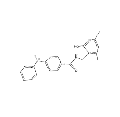 Cc1cc(C)c(CNC(=O)c2ccc([C@@H](C)c3ccccc3)cc2)c(O)n1